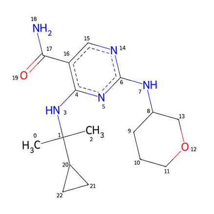 CC(C)(Nc1nc(NC2CCCOC2)ncc1C(N)=O)C1CC1